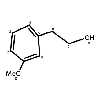 COc1cccc([CH]CO)c1